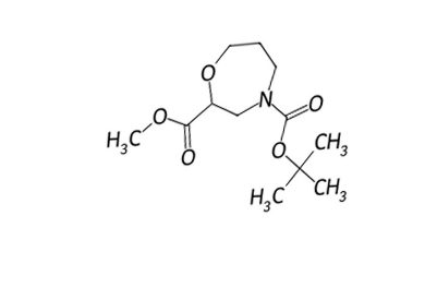 COC(=O)C1CN(C(=O)OC(C)(C)C)CCCO1